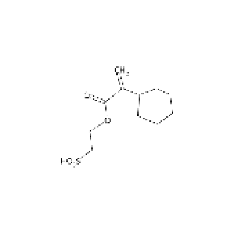 C=C(C(=O)OCCS(=O)(=O)O)C1CCCCC1